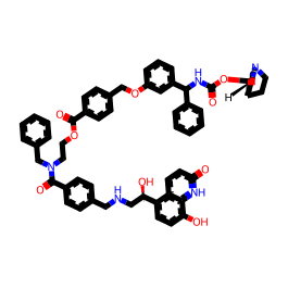 O=C(NC(c1ccccc1)c1cccc(OCc2ccc(C(=O)OCCN(Cc3ccccc3)C(=O)c3ccc(CNC[C@@H](O)c4ccc(O)c5[nH]c(=O)ccc45)cc3)cc2)c1)O[C@H]1CN2CCC1CC2